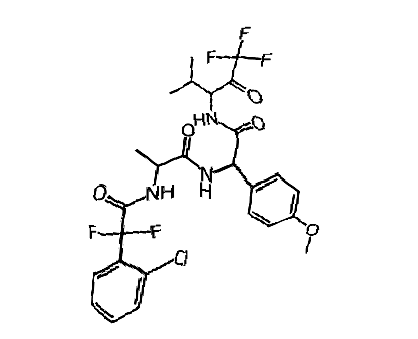 COc1ccc(C(NC(=O)C(C)NC(=O)C(F)(F)c2ccccc2Cl)C(=O)NC(C(=O)C(F)(F)F)C(C)C)cc1